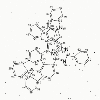 c1ccc(-c2nc(-c3ccccc3)nc(-c3ccc4c(c3)C3(c5ccccc5-c5ccc(-c6cccc(-c7nc8ccccc8n7-c7ccccc7)c6)cc53)c3ccccc3-4)n2)cc1